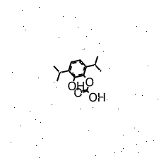 CC(C)c1ccc(C(C)C)c(OC(=O)O)c1O